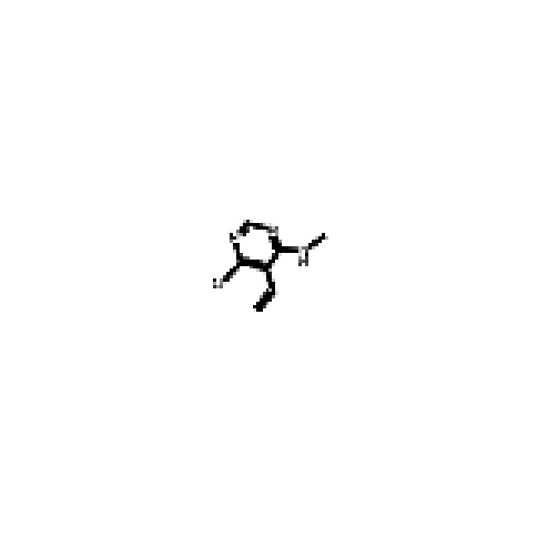 C=Cc1c(Cl)ncnc1NC